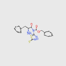 N[C@@H](Cc1ccccc1)C(=O)N(C(=O)OCc1ccccc1)c1n[nH]c(=S)s1